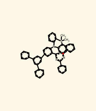 CS1(C)c2ccccc2N(c2ccc(-c3cc(-c4ccccc4)cc(-c4ccccc4)c3)cc2-c2nc(-c3ccccc3)nc(-c3ccccc3)n2)c2ccccc21